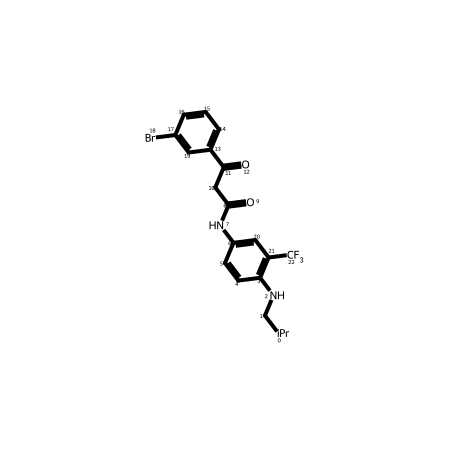 CC(C)CNc1ccc(NC(=O)CC(=O)c2cccc(Br)c2)cc1C(F)(F)F